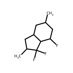 CC1CC(F)C2C(C1)CC(C)C2(F)F